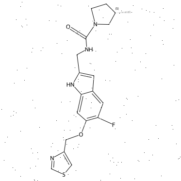 C[C@H]1CCN(C(=O)NCc2cc3cc(F)c(OCc4cscn4)cc3[nH]2)C1